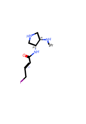 CC(C)N[C@@H]1CNC[C@H]1NC(=O)/C=C/CI